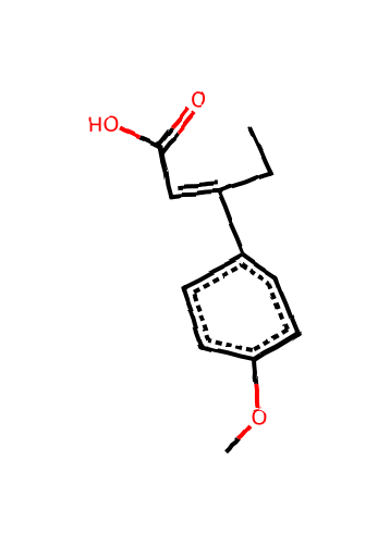 CCC(=CC(=O)O)c1ccc(OC)cc1